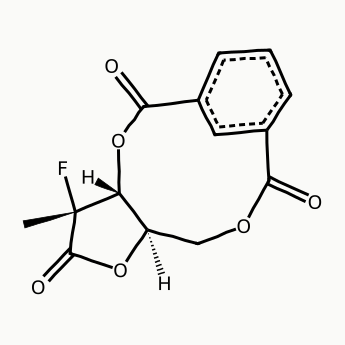 C[C@]1(F)C(=O)O[C@@H]2COC(=O)c3cccc(c3)C(=O)O[C@H]21